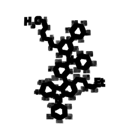 C\C=C/C=C\C=C\c1cc(-c2ccccc2)cc(N(c2ccccc2)c2cccc(-c3c(/C=C\C=C/CC)ccc4c3c3ccccc3n4-c3ccccc3)c2)c1